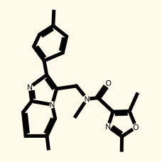 Cc1ccc(-c2nc3ccc(C)cn3c2CN(C)C(=O)c2nc(C)oc2C)cc1